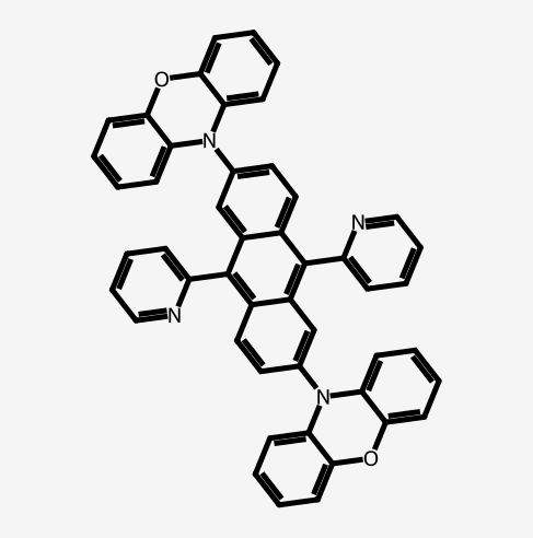 c1ccc(-c2c3ccc(N4c5ccccc5Oc5ccccc54)cc3c(-c3ccccn3)c3ccc(N4c5ccccc5Oc5ccccc54)cc23)nc1